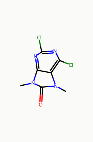 Cn1c(=O)n(C)c2c(Cl)nc(Cl)nc21